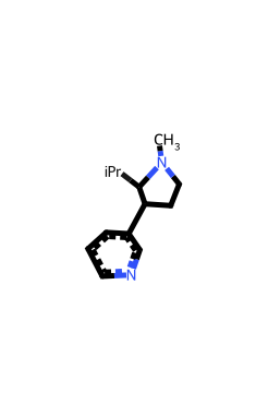 CC(C)C1C(c2cccnc2)CCN1C